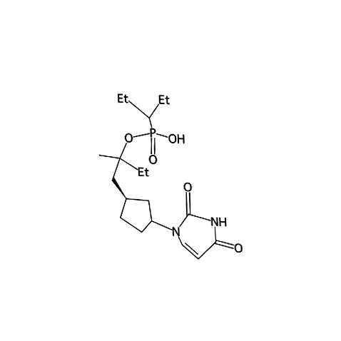 CCC(CC)P(=O)(O)OC(C)(CC)C[C@@H]1CCC(n2ccc(=O)[nH]c2=O)C1